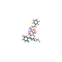 C=CCC(C(=O)NS(=O)(=O)C=Cc1ccccc1)C(=O)N(CC)c1cc(F)ccc1F